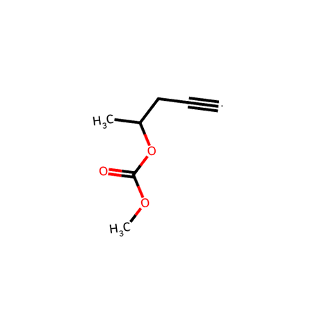 [C]#CCC(C)OC(=O)OC